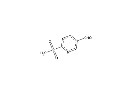 CS(=O)(=O)c1ccc(C=O)cn1